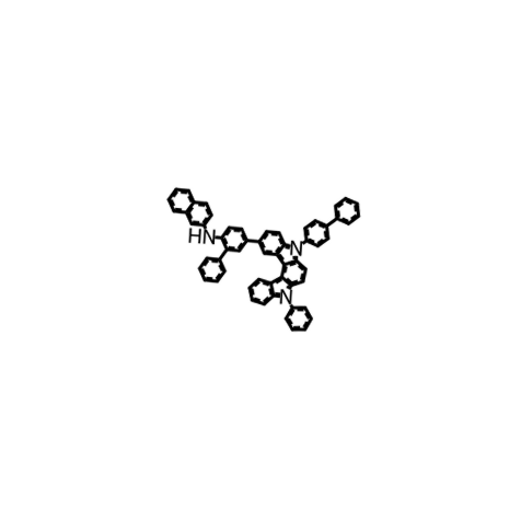 c1ccc(-c2ccc(-n3c4ccc(-c5ccc(Nc6ccc7ccccc7c6)c(-c6ccccc6)c5)cc4c4c5c6ccccc6n(-c6ccccc6)c5ccc43)cc2)cc1